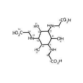 O=C(O)CNC1C(O)C(NCC(=O)O)C(O)C(NCC(=O)O)C1O